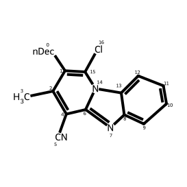 CCCCCCCCCCc1c(C)c(C#N)c2nc3ccccc3n2c1Cl